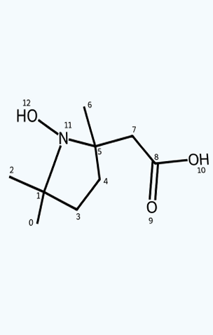 CC1(C)CCC(C)(CC(=O)O)N1O